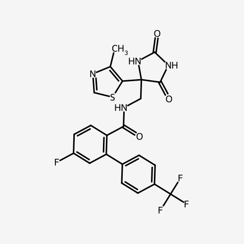 Cc1ncsc1C1(CNC(=O)c2ccc(F)cc2-c2ccc(C(F)(F)F)cc2)NC(=O)NC1=O